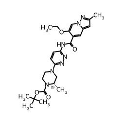 CCOc1cn2nc(C)cc2cc1C(=O)Nc1ccc(N2CCN(C(=O)OC(C)(C)C)[C@@H](C)C2)nn1